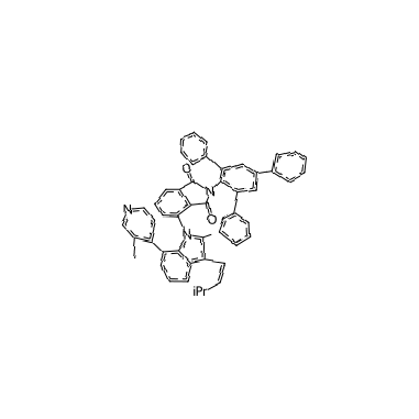 Cc1cnccc1-c1cccc2c(/C=C\C(C)C)c(C)n(-c3cccc4c3C(=O)N(c3c(-c5ccccc5)cc(-c5ccccc5)cc3-c3ccccc3)C4=O)c12